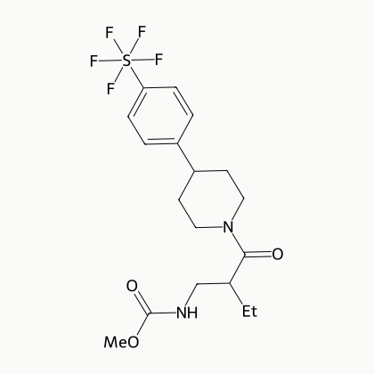 CCC(CNC(=O)OC)C(=O)N1CCC(c2ccc(S(F)(F)(F)(F)F)cc2)CC1